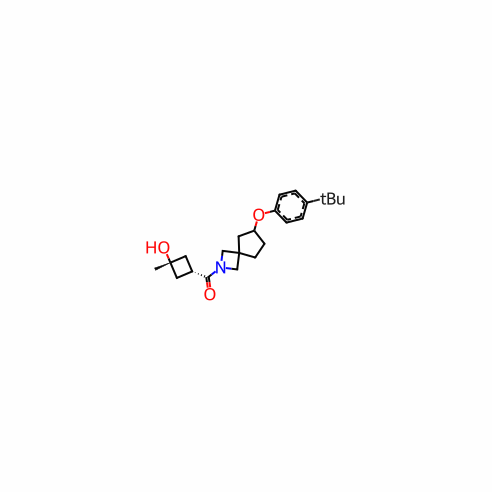 CC(C)(C)c1ccc(OC2CCC3(C2)CN(C(=O)[C@H]2C[C@@](C)(O)C2)C3)cc1